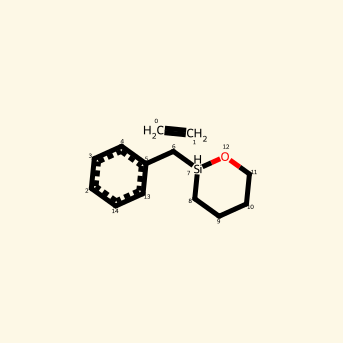 C=C.c1ccc(C[SiH]2CCCCO2)cc1